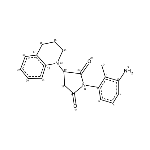 Cc1c(N)cccc1N1C(=O)CC(N2CCCc3ccccc32)C1=O